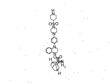 NC(=O)C12CC3C[C@H](C1)C(NC(=O)ON1CCN(c4ccc(N5CCN(S(=O)(=O)C6CCNCC6)CC5)cc4)c4ccccc41)[C@@H](C3)C2